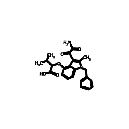 Cc1c(C(=O)C(N)=O)c2c(OC(C(=O)O)C(C)C)cccc2n1Cc1ccccc1